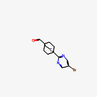 O=CC12CCC(c3ncc(Br)cn3)(CC1)CC2